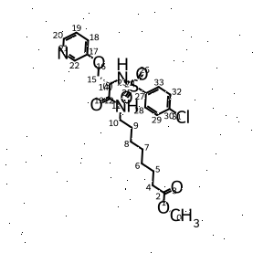 COC(=O)CCCCCCCNC(=O)[C@H](COc1cccnc1)NS(=O)(=O)c1ccc(Cl)cc1